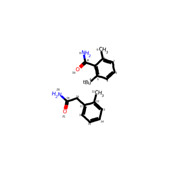 Cc1cccc(C(C)(C)C)c1C(N)=O.Cc1ccccc1CC(N)=O